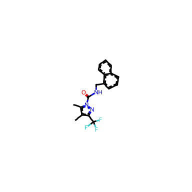 Cc1c(C(F)(F)F)nn(C(=O)NCc2cccc3ccccc23)c1C